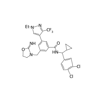 CCn1cc(-c2cc(CN3CCOC3=N)cc(C(=O)NC(c3ccc(Cl)c(Cl)c3)C3CC3)c2)c(C(F)(F)F)n1